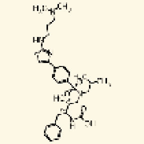 CC(C)CN(C[C@@H](O)[C@H](Cc1ccccc1)NC(=O)O)S(=O)(=O)c1ccc(-c2csc(NCCCN(C)C)n2)cc1